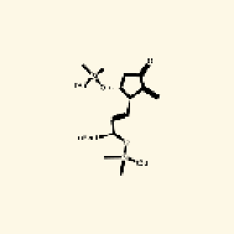 C=C1C(=O)C[C@@H](O[Si](C)(C)C(C)(C)C)[C@@H]1C=C[C@H](CCCCC)O[Si](C)(C)C(C)(C)C